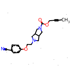 CC#CCOC(=O)N1CC2CN(CCOc3ccc(C#N)cc3)CC2C1